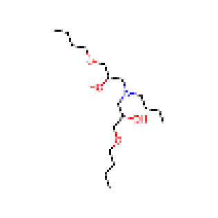 CCCCOCC(O)CN(CCCC)CC(O)COCCCC